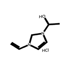 C=CN1C=CN(C(C)O)C1.Cl